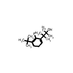 CC(C)(C)C1=C(F)C(C(C)(C)C(C)(C)O)=CCC1